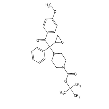 COc1ccc(C(=O)C(c2ccccc2)(C2CO2)N2CCN(C(=O)OC(C)(C)C)CC2)cc1